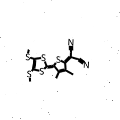 CSC1=C(SC)SC(=c2sc(=C(C#N)C#N)c(C)c2C)S1